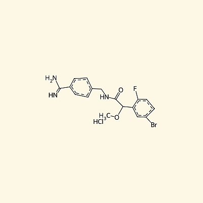 COC(C(=O)NCc1ccc(C(=N)N)cc1)c1cc(Br)ccc1F.Cl